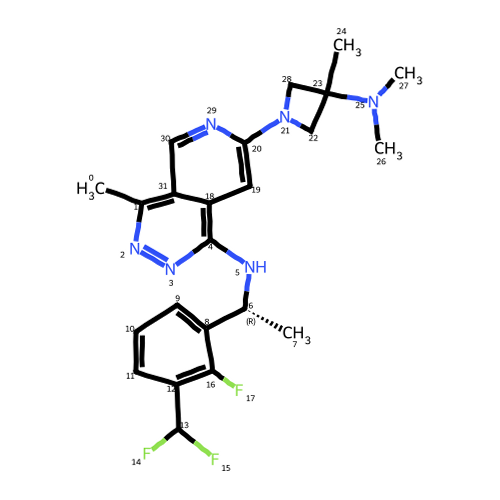 Cc1nnc(N[C@H](C)c2cccc(C(F)F)c2F)c2cc(N3CC(C)(N(C)C)C3)ncc12